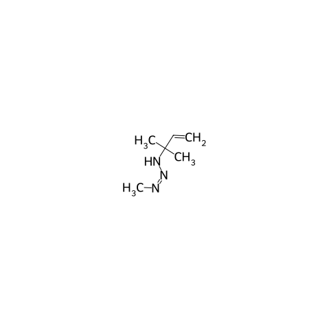 C=CC(C)(C)N/N=N\C